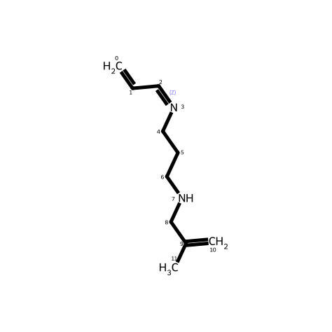 C=C/C=N\CCCNCC(=C)C